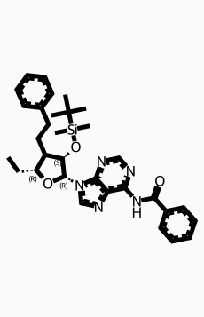 CC[C@H]1O[C@@H](n2cnc3c(NC(=O)c4ccccc4)ncnc32)[C@@H](O[Si](C)(C)C(C)(C)C)C1CCc1ccccc1